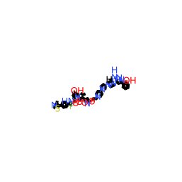 Cc1ncsc1-c1ccc([C@H](F)NC(=O)[C@@H]2C[C@@H](O)CN2C(=O)[C@@H](c2cc(OCCN3CCC(N4CCC(N5CCN6c7cc(-c8ccccc8O)nnc7NC[C@H]6C5)C4)CC3)no2)C(C)C)cc1